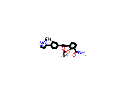 CCCC(=O)Oc1c(C#Cc2ccc(-c3ccnn3C)cc2)cccc1C(N)=O